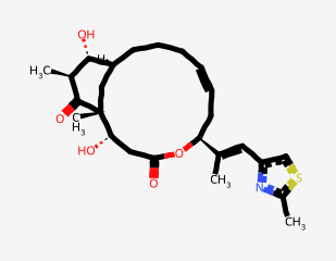 C/C(=C\c1csc(C)n1)[C@@H]1C/C=C\CCC[C@@H]2C[C@@](C)(C(=O)[C@@H](C)[C@@H]2O)[C@@H](O)CC(=O)O1